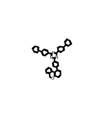 c1ccc(-c2ccc(-c3nc(-c4ccc(-c5ccccc5)cc4)nc(-c4ccc(-c5cccc6c5-c5ccccc5CO6)cc4)n3)cc2)cc1